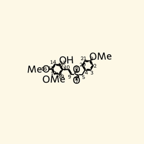 COc1ccc(CS(=O)(=O)C=Cc2c(O)cc(OC)cc2OC)cc1